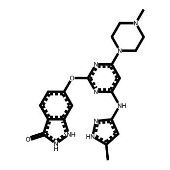 Cc1cc(Nc2cc(N3CCN(C)CC3)nc(Oc3ccc4c(=O)[nH][nH]c4c3)n2)n[nH]1